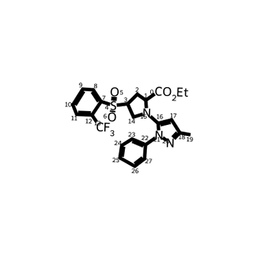 CCOC(=O)C1CC(S(=O)(=O)c2ccccc2C(F)(F)F)CN1c1cc(C)nn1-c1ccccc1